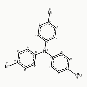 CC(C)(C)c1ccc(N(c2ccc(Br)cc2)c2ccc(Br)cc2)cc1